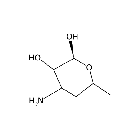 CC1CC(N)C(O)[C@@H](O)O1